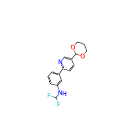 FC(F)Nc1cccc(-c2ccc(C3OCCCO3)cn2)c1